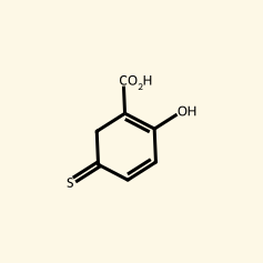 O=C(O)C1=C(O)C=CC(=S)C1